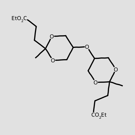 CCOC(=O)CCC1(C)OCC(OC2COC(C)(CCC(=O)OCC)OC2)CO1